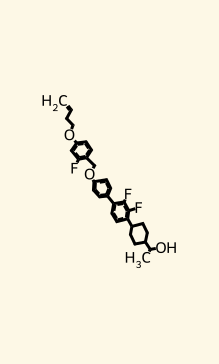 C=CCCOc1ccc(COc2ccc(-c3ccc(C4CCC(C(C)O)CC4)c(F)c3F)cc2)c(F)c1